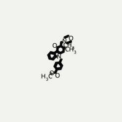 COC(=O)c1ccc(Cn2c3c(c4ccccc42)C(=O)C(CN2CCOCC2)C(C)(C)C3)cc1